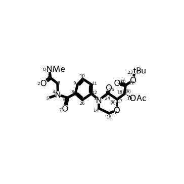 CNC(=O)CN(C)C(=O)c1cccc(N2CCO[C@H]([C@@H](OC(C)=O)C(=O)OC(C)(C)C)C2=O)c1